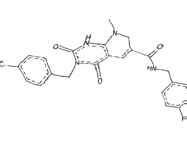 CN1CC(C(=O)NCc2ccc(F)cc2)=Cc2c1[nH]c(=O)n(Cc1ccc(C#N)cc1)c2=O